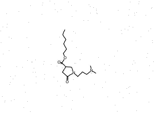 CCCCCCOC(=O)C1CC(=O)N(CCCN(C)C)C1